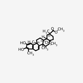 COC(=O)[C@]1(C)CC[C@]2(C)CC[C@]3(C)C4=CCc5c(cc(O)c(O)c5C)[C@]4(C)CC[C@@]3(C)[C@@H]2C1